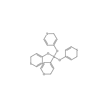 C1=CC([Si](OC2=CCSC=C2)(OC2=CCSC=C2)OC2=CCSC=C2)=CCO1